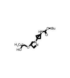 C[C@H](O)COc1cnn(C23CC(NC(=O)OC(C)(C)C)(C2)C3)c1